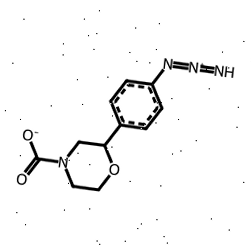 N=[N+]=Nc1ccc(C2CN(C(=O)[O-])CCO2)cc1